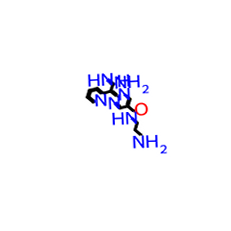 N=C(N)/C(=C1/N=CC(C(=O)NCCCN)=CN1)c1ccccn1